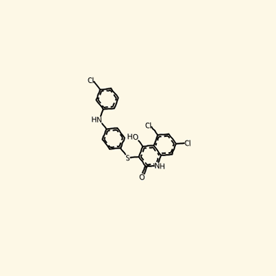 O=c1[nH]c2cc(Cl)cc(Cl)c2c(O)c1Sc1ccc(Nc2cccc(Cl)c2)cc1